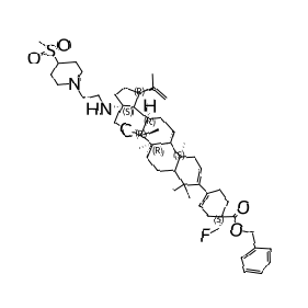 C=C(C)[C@@H]1CC[C@]2(NCCN3CCC(S(C)(=O)=O)CC3)CC[C@]3(C)[C@H](CCC4[C@@]5(C)CC=C(C6=CC[C@](CF)(C(=O)OCc7ccccc7)CC6)C(C)(C)C5CC[C@]43C)C12